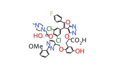 COc1ccccc1-c1nccc(COc2ccc(O)cc2CC(Oc2ncnc3oc(-c4ccc(F)cc4)c(-c4cc(Cl)c(O[C@H](CO)CN5CCN(C)CC5)c(Cl)c4)c23)C(=O)O)n1